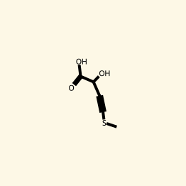 CSC#CC(O)C(=O)O